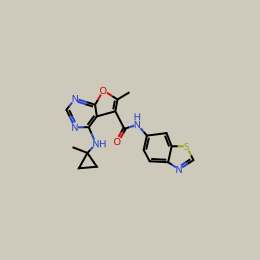 Cc1oc2ncnc(NC3(C)CC3)c2c1C(=O)Nc1ccc2ncsc2c1